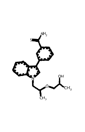 CC(O)COC(C)Cn1cc(-c2cccc(C(N)=S)c2)c2ccccc21